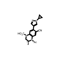 CC(=O)N1c2cc(C#N)c(-c3cnn(C4CC4)c3)cc2N(C(=O)O)C[C@@H]1C